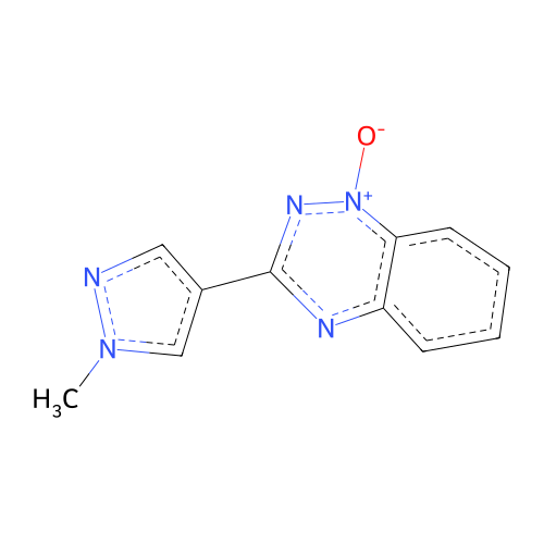 Cn1cc(-c2nc3ccccc3[n+]([O-])n2)cn1